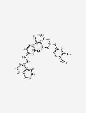 Cc1ccc(CN2CC(C)N(C(=O)c3ccc(NSc4cccc5cccnc45)cc3)C(C)C2)cc1F